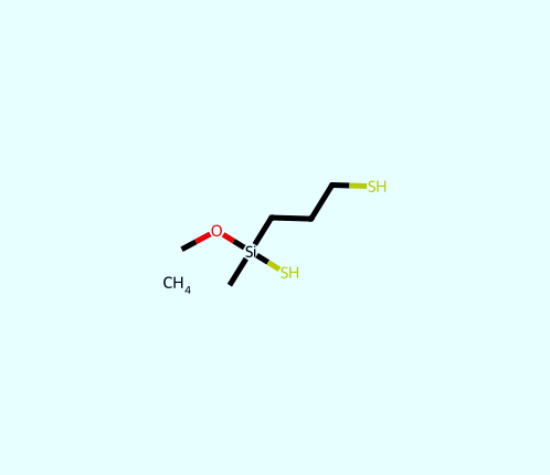 C.CO[Si](C)(S)CCCS